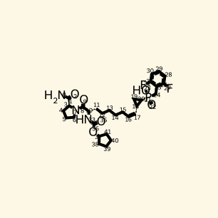 NC(=O)[C@@H]1CCCN1C(=O)[C@H](CCCCC/C=C\[C@@H]1C[C@@H]1P(=O)(O)Cc1c(F)cccc1F)NC(=O)OC1CCCC1